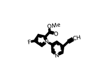 C#Cc1cncc(-n2cc(F)cc2C(=O)OC)c1